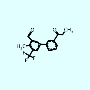 CCC(=O)c1cccc(-c2cc(C=O)c(C)c(C(F)(F)F)c2)c1